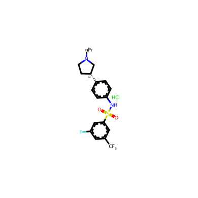 CCCN1CC[C@@H](c2ccc(NS(=O)(=O)c3cc(F)cc(C(F)(F)F)c3)cc2)C1.Cl